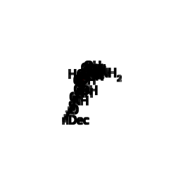 CCCCCCCCCCCCC/C=C/C(=O)SCCNC(=O)CCNC(=O)C(O)C(C)(C)COP(=O)(O)OP(=O)(O)OC[C@H]1O[C@@H](n2cnc3c(N)ncnc32)[C@H](O)[C@@H]1OP(=O)(O)O